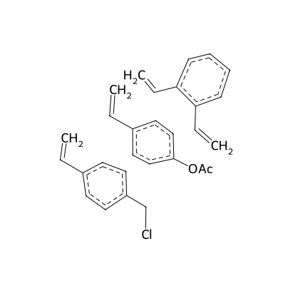 C=Cc1ccc(CCl)cc1.C=Cc1ccc(OC(C)=O)cc1.C=Cc1ccccc1C=C